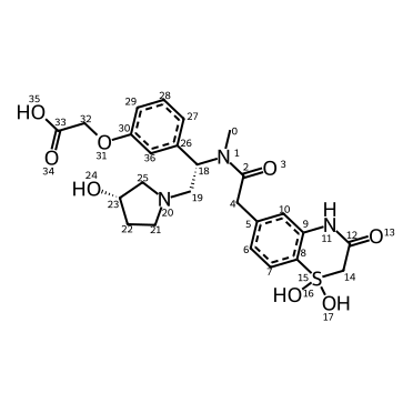 CN(C(=O)Cc1ccc2c(c1)NC(=O)CS2(O)O)[C@H](CN1CC[C@H](O)C1)c1cccc(OCC(=O)O)c1